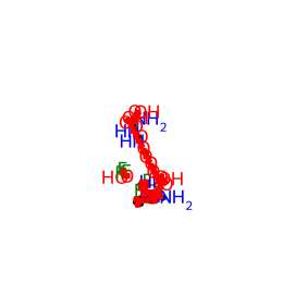 CC(C)(C)[C@H](c1cc(-c2cc(F)ccc2F)cn1Cc1ccccc1)N(CCCN)C(=O)CSC[C@H](NC(=O)CCOCCOCCOCCOCCNC(=O)CCNC(=O)CC(SC[C@H](N)C(=O)O)C(=O)O)C(=O)O.O=C(O)C(F)(F)F